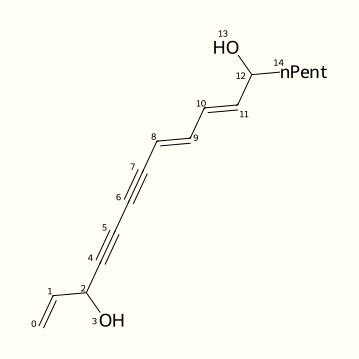 C=CC(O)C#CC#C/C=C/C=C/C(O)CCCCC